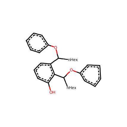 CCCCCCC(Oc1ccccc1)c1cccc(O)c1C(CCCCCC)Oc1ccccc1